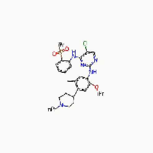 CCCN1CCC(c2cc(OC(C)C)c(Nc3ncc(Cl)c(Nc4ccccc4S(=O)(=O)C(C)C)n3)cc2C)CC1